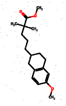 COC(=O)C(C)(C)CCCC1CCc2cc(OC)ccc2C1